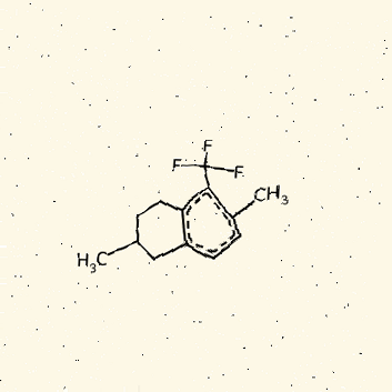 Cc1ccc2c(c1C(F)(F)F)CCC(C)C2